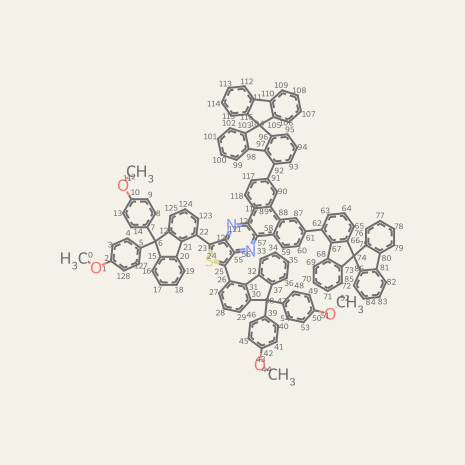 COc1ccc(C2(c3ccc(OC)cc3)c3ccccc3-c3c(-c4sc(-c5cccc6c5-c5ccccc5C6(c5ccc(OC)cc5)c5ccc(OC)cc5)c5nc6c7ccc(-c8cccc9c8-c8ccccc8C98c9ccccc9-c9ccccc98)cc7c7cc(-c8cccc9c8-c8ccccc8C98c9ccccc9-c9ccccc98)ccc7c6nc45)cccc32)cc1